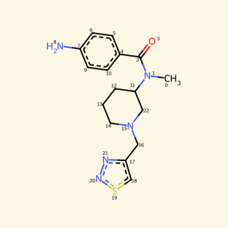 CN(C(=O)c1ccc(N)cc1)C1CCCN(Cc2csnn2)C1